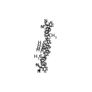 Cc1c(-c2cc3sc4c(c3s2)C(C)(C)c2c-4sc3c2C(C)(C)c2c-3sc3cc(-c4sc5cc(/C=C6\C(=O)c7ccccc7C6=C(C#N)C#N)sc5c4C)sc23)sc2cc(/C=C3\C(=O)c4ccccc4C3=C(C#N)C#N)sc12